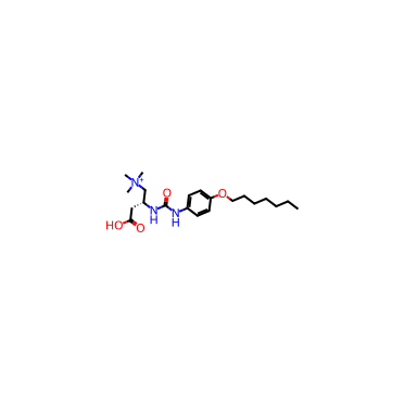 CCCCCCCOc1ccc(NC(=O)N[C@H](CC(=O)O)C[N+](C)(C)C)cc1